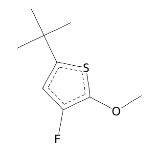 COc1sc(C(C)(C)C)cc1F